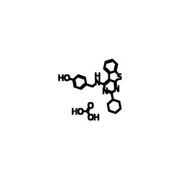 O=C(O)O.Oc1ccc(CNc2nc(C3CCCCC3)nc3sc4ccccc4c23)cc1